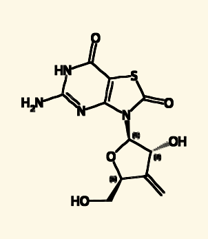 C=C1[C@@H](O)[C@H](n2c(=O)sc3c(=O)[nH]c(N)nc32)O[C@@H]1CO